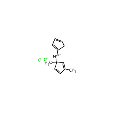 CC1=C[C](C)([Hf+2][C]2=CC=CC2)C=C1.[Cl-].[Cl-]